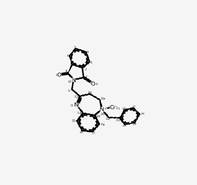 O=C1c2ccccc2C(=O)N1CC1=Nc2ccccc2[N+]([O-])(Cc2ccccc2)CC1